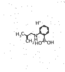 C=C(C)CNc1ccccc1B(O)O.[H+]